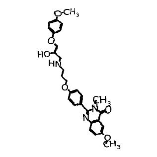 COc1ccc(OCC(O)CNCCCOc2ccc(-c3nc4ccc(OC)cc4c(=O)n3C)cc2)cc1